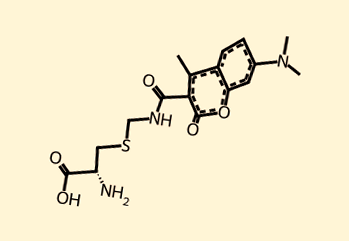 Cc1c(C(=O)NCSC[C@H](N)C(=O)O)c(=O)oc2cc(N(C)C)ccc12